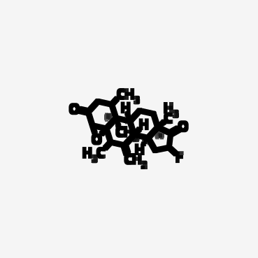 C=C1C(C)C23OC2C(=O)CC(C)[C@]3(C)[C@@H]2CC[C@]3(C)C(=O)C(F)C[C@H]3[C@H]12